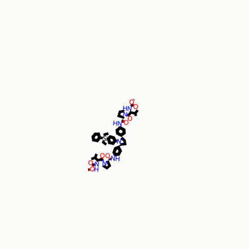 CC[Si](CC)(c1ccccc1)c1ccc(N2[C@H](c3ccc(NC(=O)[C@@H]4CCCN4C(=O)[C@@H](NC(=O)OC)C(C)C)cc3)CC[C@H]2c2ccc(NC(=O)[C@@H]3CCCN3C(=O)[C@@H](NC(=O)OC)C(C)C)cc2)cc1